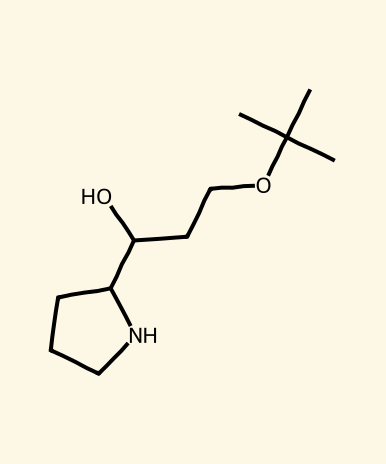 CC(C)(C)OCCC(O)C1CCCN1